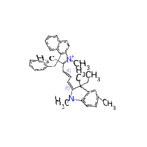 CCC1(C)/C(=C\C=C\C2=[N+](C)c3ccc4ccccc4c3C2(C)Cc2ccccc2)N(C)c2ccc(C)cc21